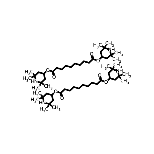 CC1(C)CC(OC(=O)CCCCCCCCC(=O)OC2CC(C)(C)NC(C)(C)C2)CC(C)(C)N1.CC1(C)CC(OC(=O)CCCCCCCCC(=O)OC2CC(C)(C)NC(C)(C)C2)CC(C)(C)N1